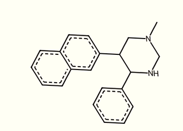 CN1CNC(c2ccccc2)C(c2ccc3ccccc3c2)C1